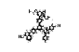 C[C@@H]1C[C@@H]2C[C@H](C)CC(c3ccc(-c4cc(-c5ccc(-c6ccc(C#N)c7ccccc67)cc5)cc(-c5nc(-c6ccccc6)nc(-c6ccc(C#N)cc6)n5)c4)cc3)(C1)C2